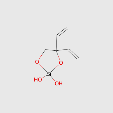 C=CC1(C=C)CO[Si](O)(O)O1